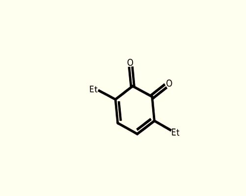 CCC1=CC=C(CC)C(=O)C1=O